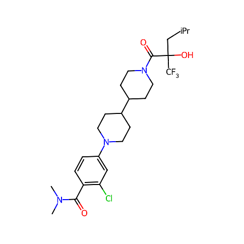 CC(C)CC(O)(C(=O)N1CCC(C2CCN(c3ccc(C(=O)N(C)C)c(Cl)c3)CC2)CC1)C(F)(F)F